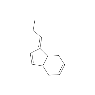 CCC=C1C=CC2CC=CCC12